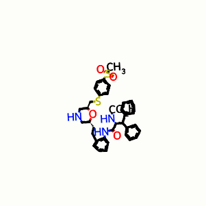 CS(=O)(=O)c1ccc(SC[C@@H]2CNC[C@@H](CCc3ccccc3NC(=O)[C@@H](NC(=O)O)C(c3ccccc3)c3ccccc3)O2)cc1